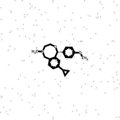 COc1ccc([C@H]2OCCN(C)Cc3ccc(C4CC4)cc32)cc1